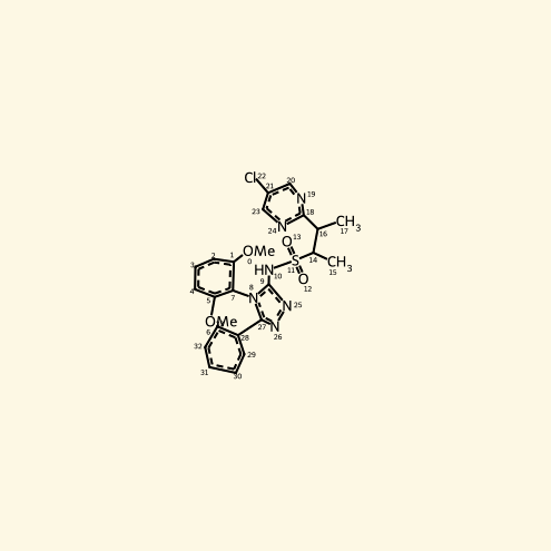 COc1cccc(OC)c1-n1c(NS(=O)(=O)C(C)C(C)c2ncc(Cl)cn2)nnc1-c1ccccc1